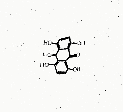 O=C1c2c(O)ccc(O)c2C(=O)c2c(O)ccc(O)c21.[Li]